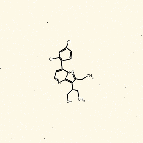 CCc1nn2c(-c3ccc(Cl)cc3Cl)ccnc2c1C(CC)CO